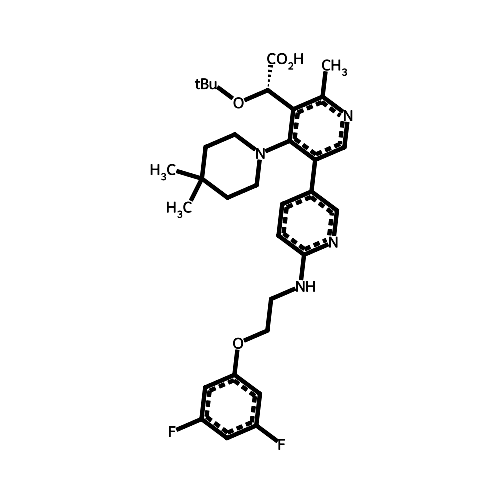 Cc1ncc(-c2ccc(NCCOc3cc(F)cc(F)c3)nc2)c(N2CCC(C)(C)CC2)c1[C@H](OC(C)(C)C)C(=O)O